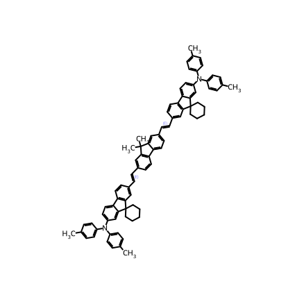 Cc1ccc(N(c2ccc(C)cc2)c2ccc3c(c2)C2(CCCCC2)c2cc(/C=C/c4ccc5c(c4)C(C)(C)c4cc(/C=C/c6ccc7c(c6)C6(CCCCC6)c6cc(N(c8ccc(C)cc8)c8ccc(C)cc8)ccc6-7)ccc4-5)ccc2-3)cc1